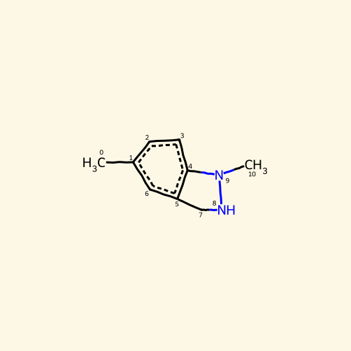 Cc1ccc2c(c1)CNN2C